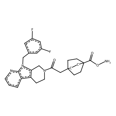 NOC(=O)C12CCC(CC(=O)N3CCc4c(n(Cc5cc(F)cc(F)c5)c5ncccc45)C3)(CC1)CC2